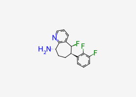 N[C@H]1CC[C@H](c2cccc(F)c2F)[C@H](F)c2cccnc21